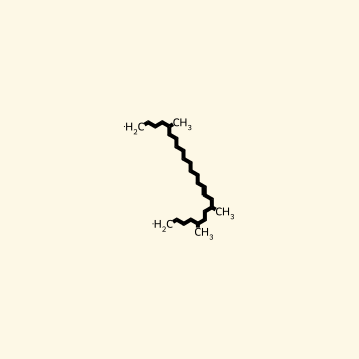 [CH2]CCCC(C)CCCCCCCCCC=CCC(C)CCC(C)CCC[CH2]